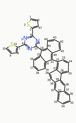 c1csc(-c2nc(-c3cccs3)nc(-c3c4ccccc4c(-c4cccc5c4ccc4cc6ccccc6cc45)c4ccccc34)n2)c1